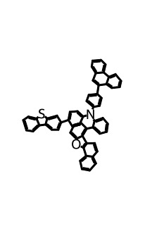 c1ccc(N(c2ccc(-c3ccc4c(c3)sc3ccccc34)cc2)c2ccc(-c3cc4ccccc4c4ccccc34)cc2)c(-c2cccc3oc4c5ccccc5ccc4c23)c1